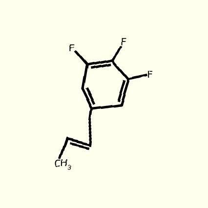 CC=Cc1cc(F)c(F)c(F)c1